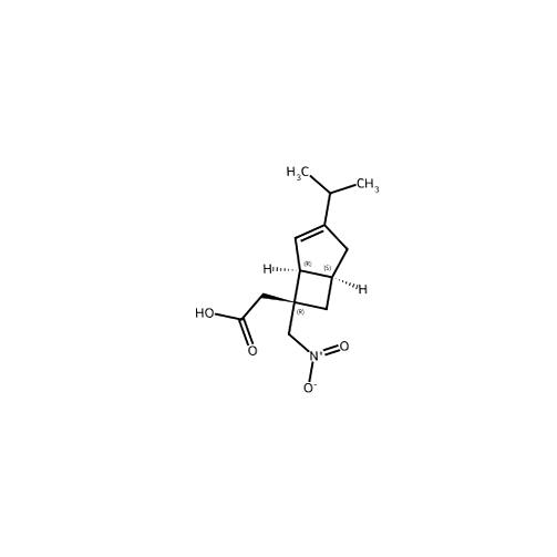 CC(C)C1=C[C@H]2[C@@H](C1)C[C@]2(CC(=O)O)C[N+](=O)[O-]